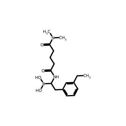 CCc1cccc(CC(NC(=O)CCCC(=O)N(C)C)B(O)O)c1